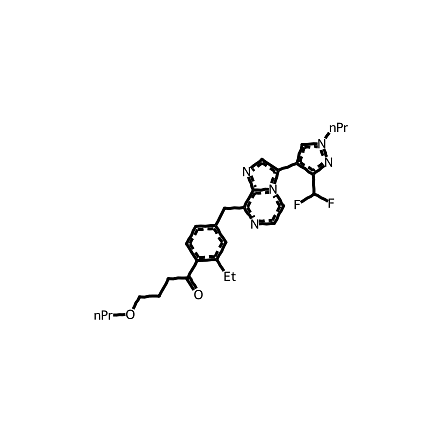 CCCOCCCC(=O)c1ccc(Cc2nccn3c(-c4cn(CCC)nc4C(F)F)cnc23)cc1CC